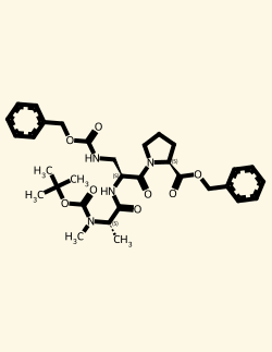 C[C@@H](C(=O)N[C@@H](CNC(=O)OCc1ccccc1)C(=O)N1CCC[C@H]1C(=O)OCc1ccccc1)N(C)C(=O)OC(C)(C)C